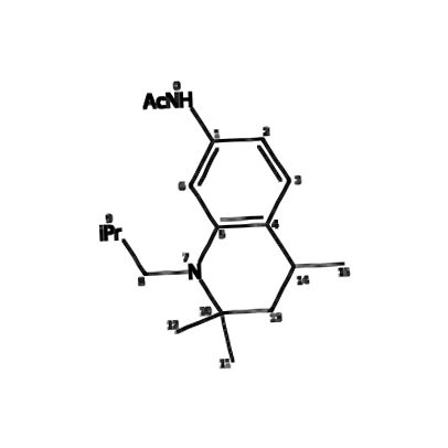 CC(=O)Nc1ccc2c(c1)N(CC(C)C)C(C)(C)CC2C